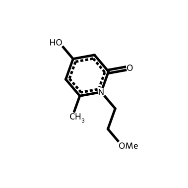 COCCn1c(C)cc(O)cc1=O